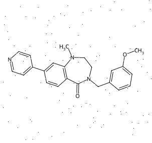 COc1cccc(CN2CCN(C)c3cc(-c4ccncc4)ccc3C2=O)c1